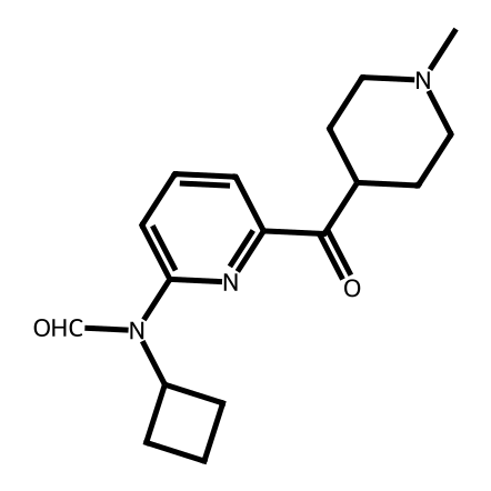 CN1CCC(C(=O)c2cccc(N(C=O)C3CCC3)n2)CC1